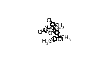 CC[C@@](O)(c1cc(F)c2c(c1)C(=O)N(Cc1ncc(Cl)cn1)[C@@]2(OC)c1ccc(Cl)cc1)C1CCN(C)CC1